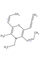 C=C=CC1=C(/C=C\C)N(CC)C(C)=C(/C=C\C)S1